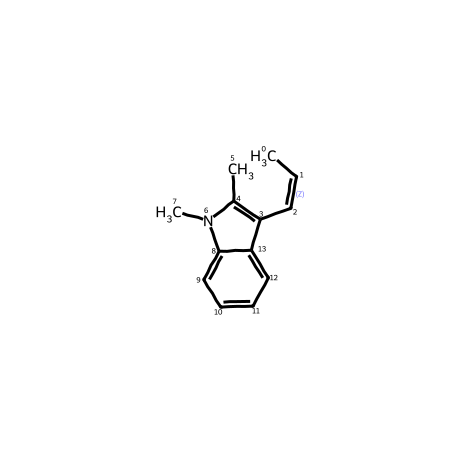 C/C=C\c1c(C)n(C)c2ccccc12